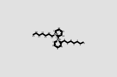 CCCCCCCc1cccc[n+]1-c1cccc[n+]1CCCCCCC